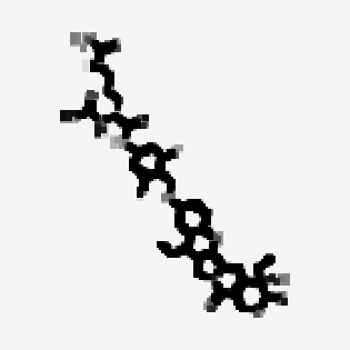 CCc1c2c(nc3ccc(OCc4c(F)cc(NC(=O)[C@H](CCCNC(N)=O)NC(=O)O)cc4F)cc13)-c1cc3c(c(=O)n1C2)COC(=O)[C@]3(O)CC